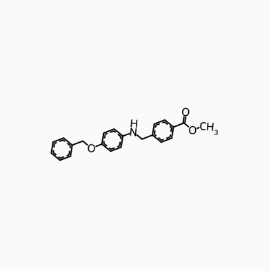 COC(=O)c1ccc(CNc2ccc(OCc3ccccc3)cc2)cc1